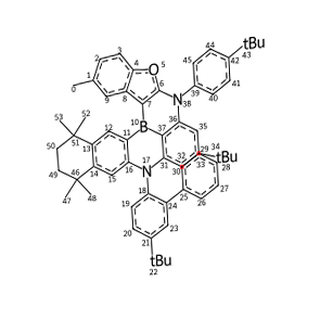 Cc1ccc2oc3c(c2c1)B1c2cc4c(cc2N(c2ccc(C(C)(C)C)cc2-c2ccccc2)c2cc(C(C)(C)C)cc(c21)N3c1ccc(C(C)(C)C)cc1)C(C)(C)CCC4(C)C